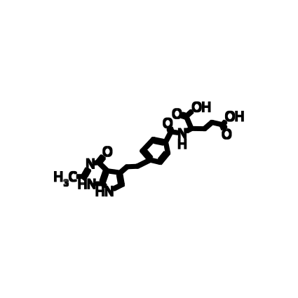 Cc1nc(=O)c2c(CCc3ccc(C(=O)NC(CCC(=O)O)C(=O)O)cc3)c[nH]c2[nH]1